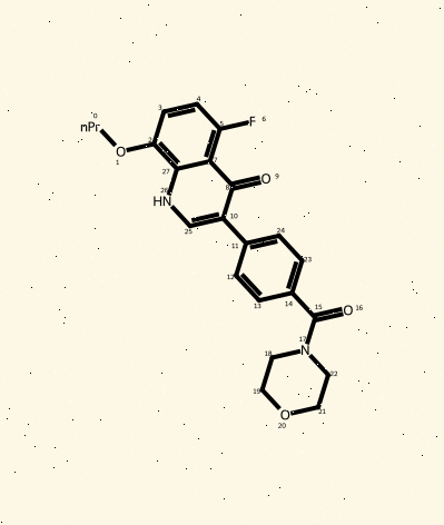 CCCOc1ccc(F)c2c(=O)c(-c3ccc(C(=O)N4CCOCC4)cc3)c[nH]c12